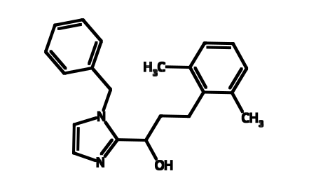 Cc1cccc(C)c1CCC(O)c1nccn1Cc1ccccc1